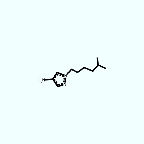 CC(C)CCCCn1cc(N)cn1